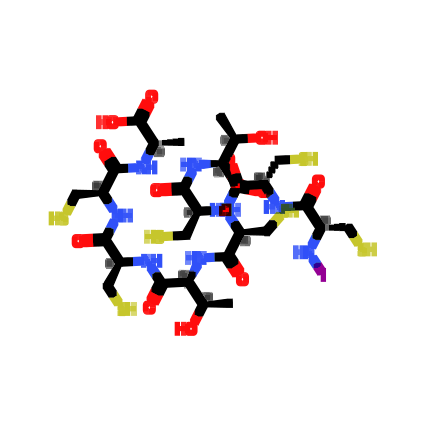 C[C@H](NC(=O)[C@H](CS)NC(=O)[C@H](CS)NC(=O)[C@@H](NC(=O)[C@H](CS)NC(=O)[C@@H](NC(=O)[C@H](CS)NC(=O)[C@H](CS)NC(=O)[C@H](CS)NI)[C@@H](C)O)[C@@H](C)O)C(=O)O